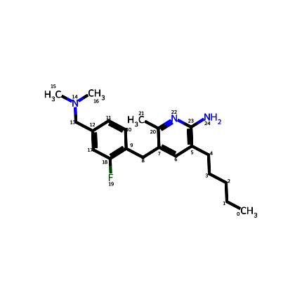 CCCCCc1cc(Cc2ccc(CN(C)C)cc2F)c(C)nc1N